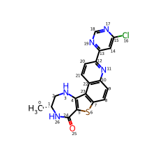 C[C@@H]1CNc2c(sc3ccc4nc(-c5cc(Cl)ncn5)ccc4c23)C(=O)N1